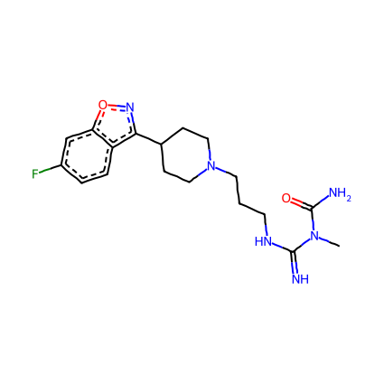 CN(C(=N)NCCCN1CCC(c2noc3cc(F)ccc23)CC1)C(N)=O